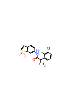 C=C(C(=O)Nc1ccc2c(c1)S(=O)(=O)C=C2)c1cccc(Cl)c1Cl